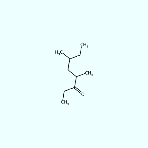 CCC(=O)C(C)CC(C)CC